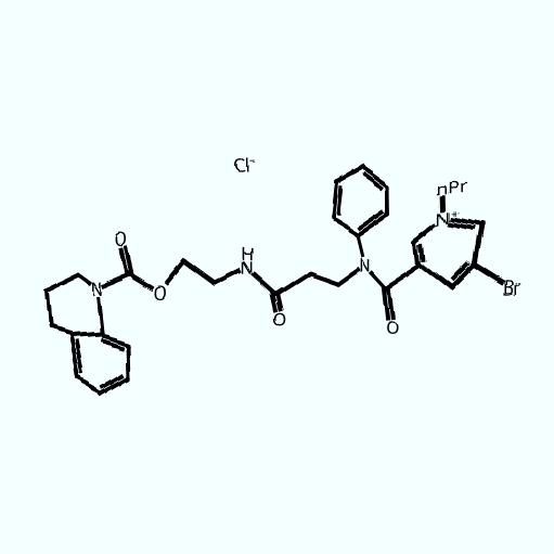 CCC[n+]1cc(Br)cc(C(=O)N(CCC(=O)NCCOC(=O)N2CCCc3ccccc32)c2ccccc2)c1.[Cl-]